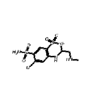 CNCC1Nc2cc(Cl)c(S(N)(=O)=O)cc2S(=O)(=O)N1